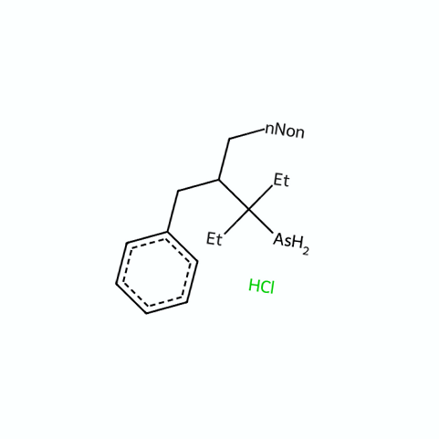 CCCCCCCCCCC(Cc1ccccc1)C([AsH2])(CC)CC.Cl